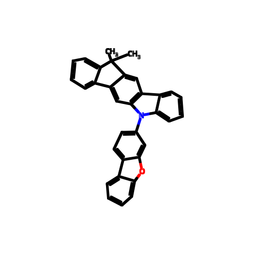 CC1(C)c2ccccc2-c2cc3c(cc21)c1ccccc1n3-c1ccc2c(c1)oc1ccccc12